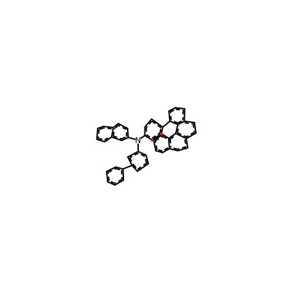 c1ccc(-c2cccc(N(c3ccc(-c4cccc5ccc6ccc7ccccc7c6c45)cc3)c3ccc4ccccc4c3)c2)cc1